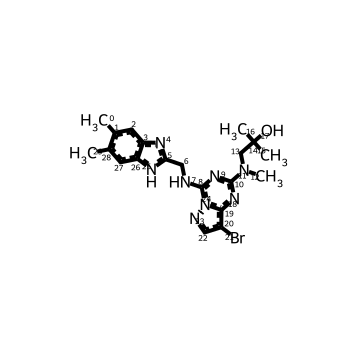 Cc1cc2nc(CNc3nc(N(C)CC(C)(C)O)nc4c(Br)cnn34)[nH]c2cc1C